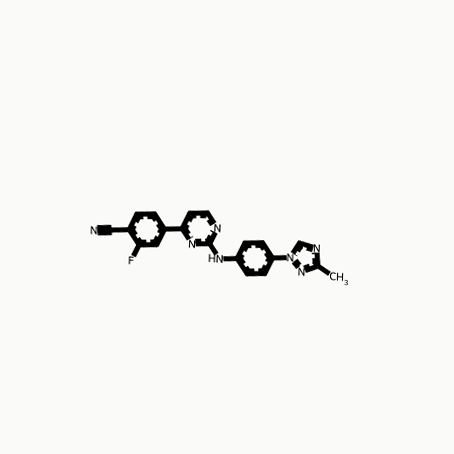 Cc1ncn(-c2ccc(Nc3nccc(-c4ccc(C#N)c(F)c4)n3)cc2)n1